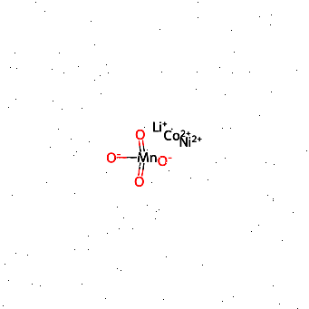 [Co+2].[Li+].[Ni+2].[O]=[Mn](=[O])([O-])[O-]